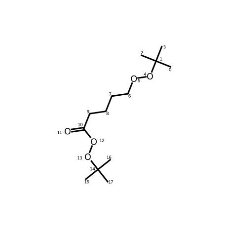 CC(C)(C)OOCCCCC(=O)OOC(C)(C)C